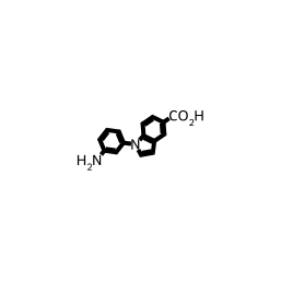 Nc1cccc(-n2ccc3cc(C(=O)O)ccc32)c1